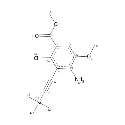 COC(=O)c1cc(OC)c(N)c(C#C[Si](C)(C)C)c1Cl